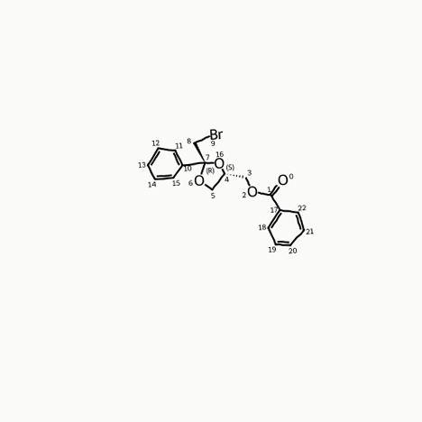 O=C(OC[C@@H]1CO[C@](CBr)(c2ccccc2)O1)c1ccccc1